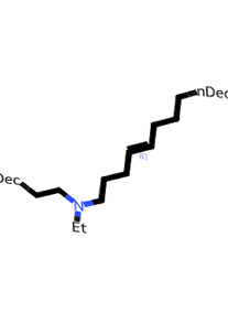 CCCCCCCCCCCCC/C=C/CCCN(CC)CCCCCCCCCCCC